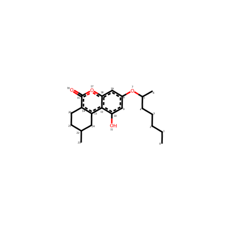 CCCCCC(C)Oc1cc(O)c2c3c(c(=O)oc2c1)CCC(C)C3